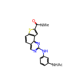 CNC(=O)c1cc2c(ccc3cnc(Nc4cccc(NC(C)=O)c4)nc32)s1